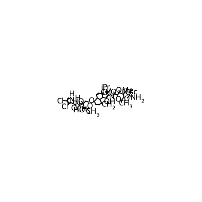 C=C1CCC(OC2CC(O)(C(C)NC(=O)c3[nH]cc(Cl)c3Cl)C(O)C(C)O2)C2C=CC(C)C(/C(O)=C3/N=C(C4OC(C)C(OC(N)=O)C(OC(C)=O)C4OC)OC(C(C)C)C3=O)C12